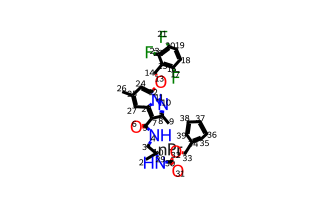 CCCC(C)(CNC(=O)c1c(C)nn2c(OCc3c(F)ccc(F)c3F)cc(C)cc12)NC(=O)OCc1ccccc1